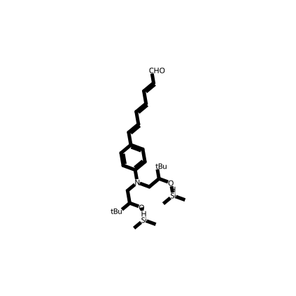 C[SiH](C)OC(CN(CC(O[SiH](C)C)C(C)(C)C)c1ccc(C=CC=CC=CC=O)cc1)C(C)(C)C